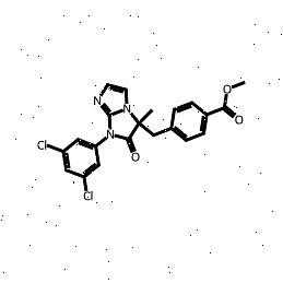 COC(=O)c1ccc(CC2(C)C(=O)N(c3cc(Cl)cc(Cl)c3)c3nccn32)cc1